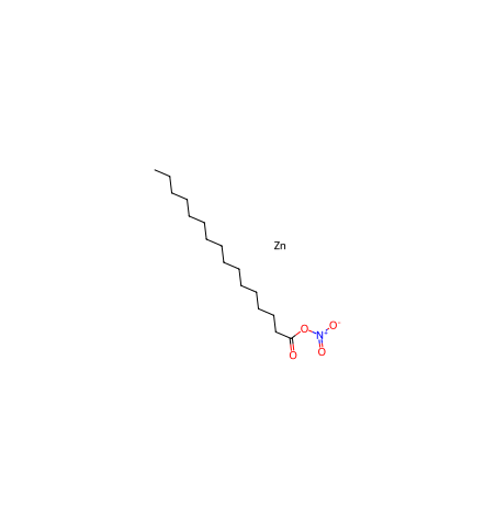 CCCCCCCCCCCCCCCC(=O)O[N+](=O)[O-].[Zn]